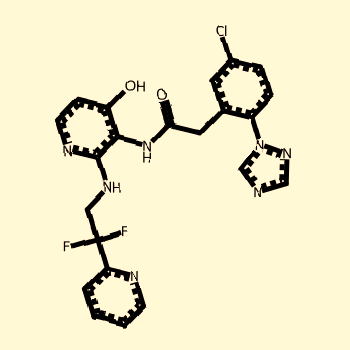 O=C(Cc1cc(Cl)ccc1-n1cncn1)Nc1c(O)ccnc1NCC(F)(F)c1ccccn1